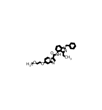 CCc1nn(Cc2ccccc2)c2cccc(NC(=O)c3cnc4cc(OCCOC)ccn34)c12